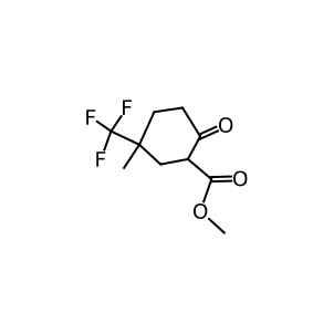 COC(=O)C1CC(C)(C(F)(F)F)CCC1=O